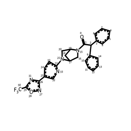 O=C(C(c1ccccc1)c1ccccc1)N1CC2CC1CN2c1ccc(-c2noc(C(F)(F)F)n2)cn1